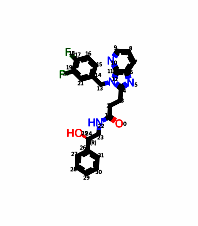 O=C(CCc1nc2cccnc2n1Cc1ccc(F)c(F)c1)NC[C@H](O)c1ccccc1